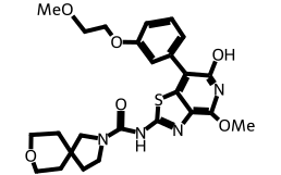 COCCOc1cccc(-c2c(O)nc(OC)c3nc(NC(=O)N4CCC5(CCOCC5)C4)sc23)c1